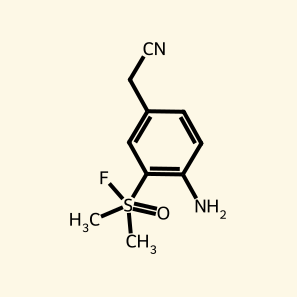 CS(C)(=O)(F)c1cc(CC#N)ccc1N